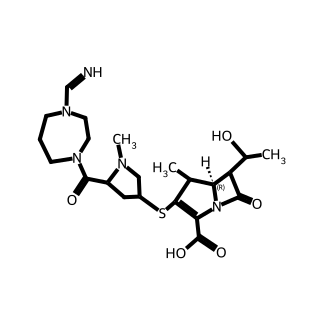 CC(O)C1C(=O)N2C(C(=O)O)=C(SC3CC(C(=O)N4CCCN(C=N)CC4)N(C)C3)C(C)[C@@H]12